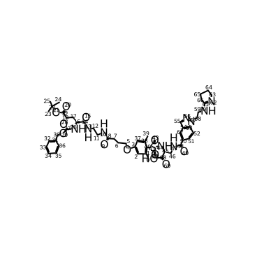 Cc1cc(OCCCC(=O)NCCNC(=O)[C@H](CCC(=O)OC(C)(C)C)NC(=O)OCc2ccccc2)cc(C)c1S(=O)(=O)N[C@@H](CNC(=O)c1ccc2c(cnn2CCNC2=NCCCC2)c1)C(=O)O